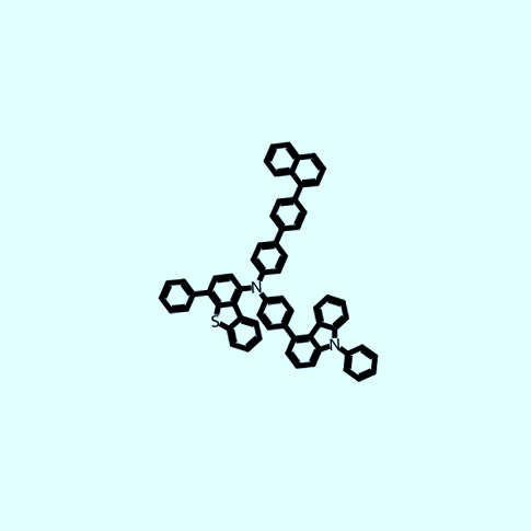 c1ccc(-c2ccc(N(c3ccc(-c4ccc(-c5cccc6ccccc56)cc4)cc3)c3ccc(-c4cccc5c4c4ccccc4n5-c4ccccc4)cc3)c3c2sc2ccccc23)cc1